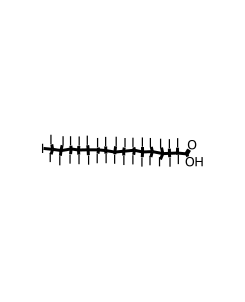 O=C(O)C(I)(I)C(I)(I)C(I)(I)C(I)(I)C(I)(I)C(I)(I)C(I)(I)C(I)(I)C(I)(I)C(I)(I)C(I)(I)C(I)(I)C(I)(I)C(I)(I)C(I)(I)I